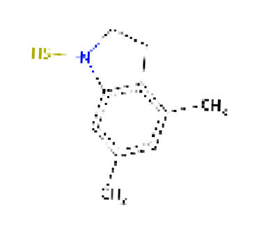 Cc1cc(C)c2c(c1)N(S)CC2